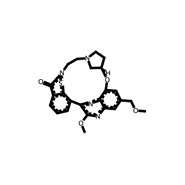 COCc1cc2c3nc(c(OC)nc3c1)-c1cccc3c(=O)n(sc13)CCN1CC[C@@H](C1)O2